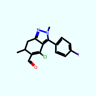 CC1Cc2nn(C)c(-c3ccc(I)cc3)c2C(Cl)=C1C=O